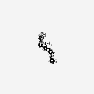 Nc1c(-c2cc(Cc3ccc(OCc4ccnc(F)c4)nc3)no2)ccc[n+]1COP(=O)([O-])O